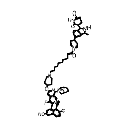 C#Cc1c(F)ccc2cc(O)cc(-c3ncc4c(N5CC6CCC(C5)N6)nc(OC5CCN(CCCCCCCCCC(=O)N6CCC(c7ccc8c(c7)C(C)NC8C7CCC(=O)NC7=O)CC6)CC5)cc4c3F)c12